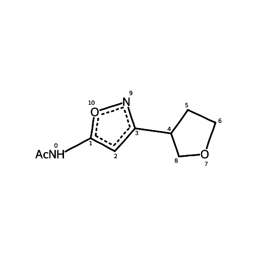 CC(=O)Nc1cc(C2CCOC2)no1